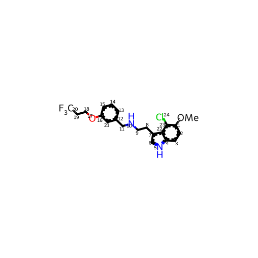 COc1ccc2[nH]cc(CCNCc3cccc(OCCC(F)(F)F)c3)c2c1Cl